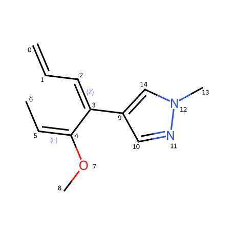 C=C/C=C(\C(=C/C)OC)c1cnn(C)c1